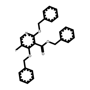 O=C(OCc1ccccc1)c1c(OCc2ccccc2)ncc(I)c1OCc1ccccc1